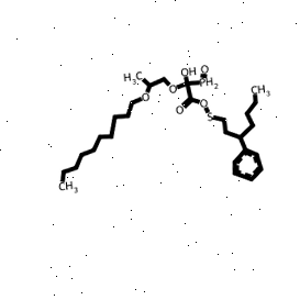 CCCCCCCCCCOC(C)COC(O)([PH2]=O)C(=O)OSCCC(CCCC)c1ccccc1